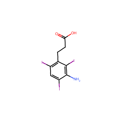 Nc1c(I)cc(I)c(CCC(=O)O)c1I